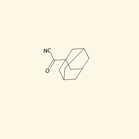 N#CC(=O)C12CC3CC(CC(C3)C1)C2